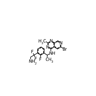 Cc1nc(NC(C)c2cccc(C(F)(F)CN)c2F)c2cc(Br)ncc2n1